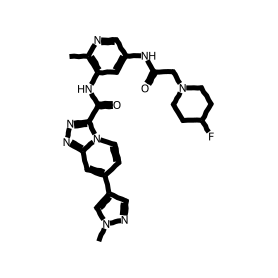 Cc1ncc(NC(=O)CN2CCC(F)CC2)cc1NC(=O)c1nnc2cc(-c3cnn(C)c3)ccn12